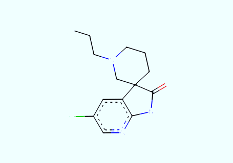 CCCN1CCCC2(C1)C(=O)Nc1ncc(Cl)cc12